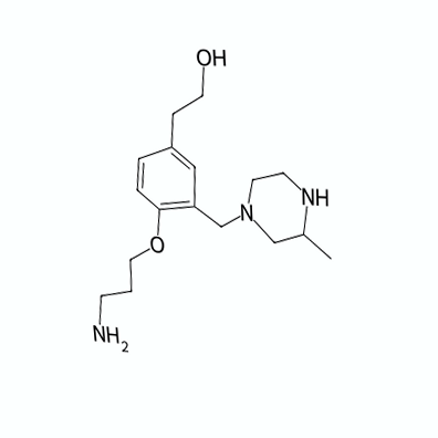 CC1CN(Cc2cc(CCO)ccc2OCCCN)CCN1